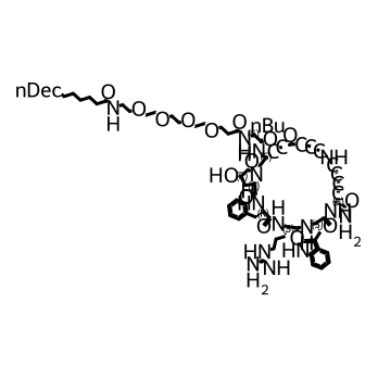 CCCCCCCCCCCCCCCC(=O)NCCOCCOCCOCCOCCC(=O)N[C@@H](CCCC)C(=O)N[C@H]1CCC(=O)CCCNCCCC[C@@H](C(N)=O)NC(=O)[C@H](Cc2c[nH]c3ccccc23)NC(=O)[C@H](CCCNC(=N)N)NC(=O)[C@@H](Cc2ccccc2)NC(=O)[C@@H]2C[C@@H](O)CN2C1=O